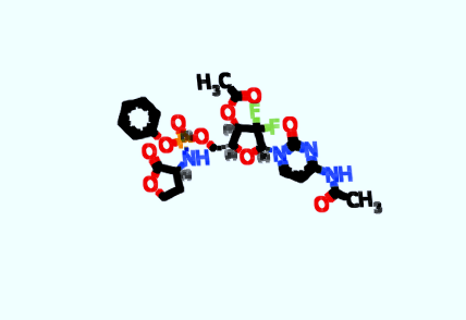 CC(=O)Nc1ccn([C@@H]2O[C@H](CO[P@@](=O)(N[C@H]3CCOC3=O)Oc3ccccc3)[C@@H](OC(C)=O)C2(F)F)c(=O)n1